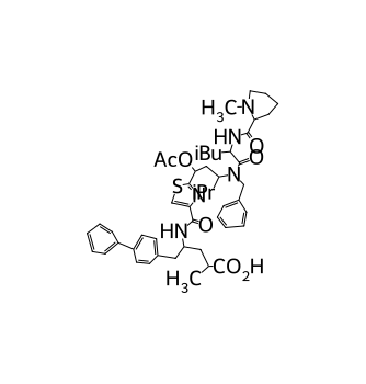 CCC(C)C(NC(=O)C1CCCCN1C)C(=O)N(Cc1ccccc1)C(CC(OC(C)=O)c1nc(C(=O)NC(Cc2ccc(-c3ccccc3)cc2)CC(C)C(=O)O)cs1)C(C)C